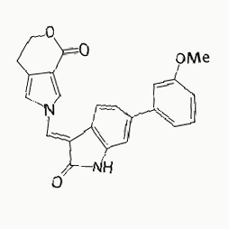 COc1cccc(-c2ccc3c(c2)NC(=O)C3=Cn2cc3c(c2)C(=O)OCC3)c1